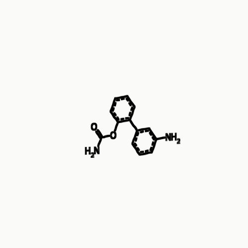 NC(=O)Oc1ccccc1-c1cccc(N)c1